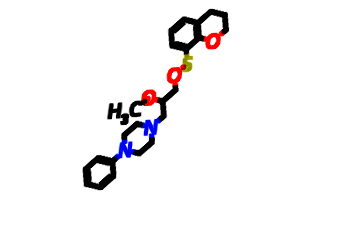 COC(COSc1cccc2c1OCCC2)CN1CCN(c2ccccc2)CC1